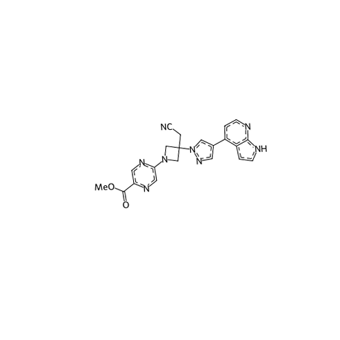 COC(=O)c1cnc(N2CC(CC#N)(n3cc(-c4ccnc5[nH]ccc45)cn3)C2)cn1